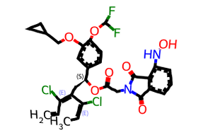 C=C/C(Cl)=C(C[C@H](OC(=O)CN1C(=O)c2cccc(NO)c2C1=O)c1ccc(OC(F)F)c(OCC2CC2)c1)\C(Cl)=C/C